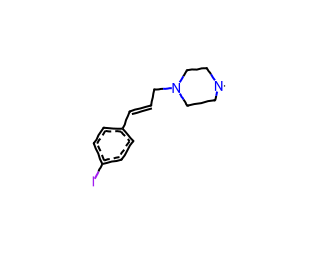 Ic1ccc(C=CCN2CC[N]CC2)cc1